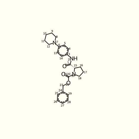 O=C(Nc1ccc(N2CCCCC2)cc1)[C@@H]1CCCN1C(=O)OCc1ccccc1